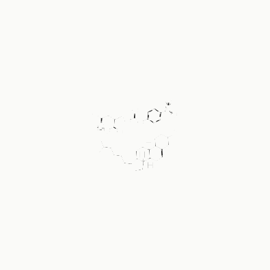 CC(C)CCC[C@@H](C)[C@H]1CC[C@H]2[C@@H]3CC=C4CC(O)CC[C@]4(C)[C@H]3CC[C@]12C.O=C(O)CC(COC(=O)Oc1ccc([N+](=O)[O-])cc1)C(=O)O